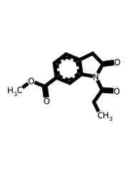 CCC(=O)N1C(=O)Cc2ccc(C(=O)OC)cc21